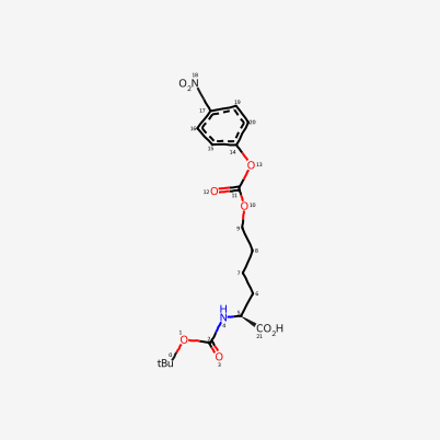 CC(C)(C)OC(=O)N[C@@H](CCCCOC(=O)Oc1ccc([N+](=O)[O-])cc1)C(=O)O